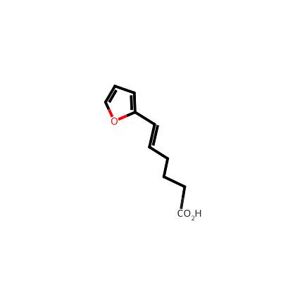 O=C(O)CCCC=Cc1ccco1